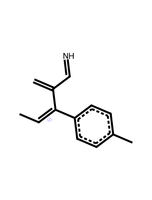 C=C(C=N)/C(=C\C)c1ccc(C)cc1